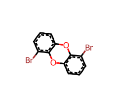 Brc1cccc2c1Oc1cccc(Br)c1O2